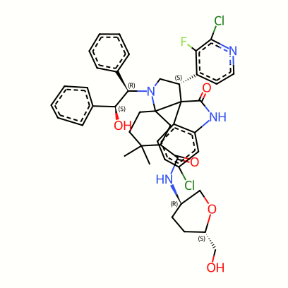 CC1(C)CCC2(CC1C(=O)N[C@@H]1CC[C@@H](CO)OC1)N([C@H](c1ccccc1)[C@@H](O)c1ccccc1)C[C@H](c1ccnc(Cl)c1F)C21C(=O)Nc2cc(Cl)ccc21